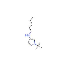 CCCCCNC1CCN(C(C)(C)C)C1